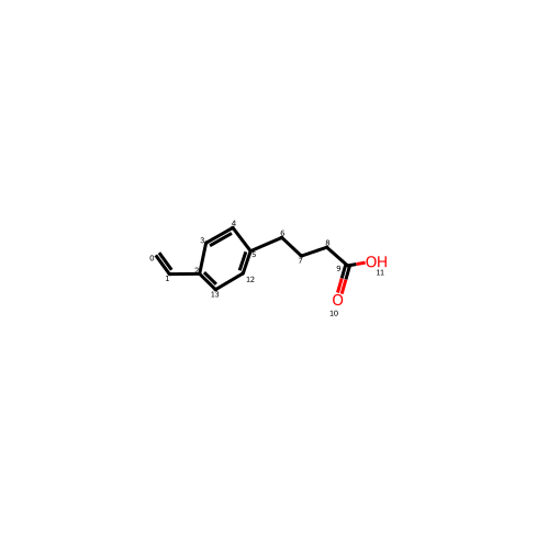 C=Cc1ccc(CCCC(=O)O)cc1